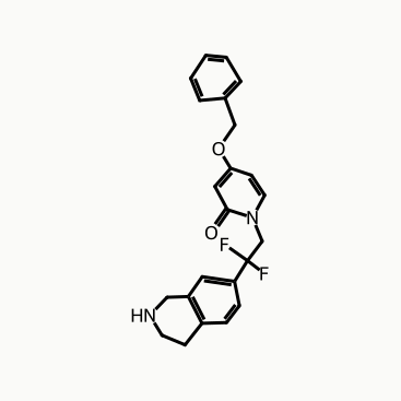 O=c1cc(OCc2ccccc2)ccn1CC(F)(F)c1ccc2c(c1)CNCC2